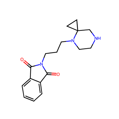 O=C1c2ccccc2C(=O)N1CCCN1CCNCC12CC2